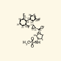 CS(=O)(=O)N[C@H]1CCN(C(=O)[C@H]2C[C@@H]2c2c(-c3c(F)cccc3F)csc2F)C1